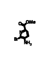 COC(=O)c1ccc(N)c(Br)n1